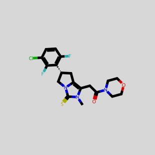 Cn1c(CC(=O)N2CCOCC2)c2n(c1=S)C[C@H](c1c(F)ccc(Cl)c1F)C2